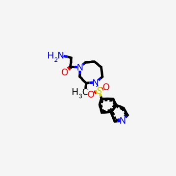 CC1CN(C(=O)CN)CCCCN1S(=O)(=O)c1ccc2cnccc2c1